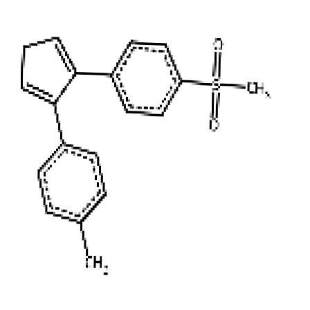 Cc1ccc(C2=CCC=C2c2ccc(S(C)(=O)=O)cc2)cc1